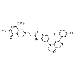 COC(=O)C1CN(CCC(=O)Nc2cc(N3CCOc4cnc(-c5cc(Cl)ccc5F)cc43)ccn2)CCN1C(=O)OC(C)(C)C